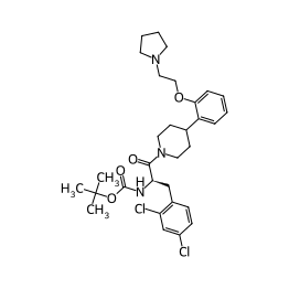 CC(C)(C)OC(=O)N[C@H](Cc1ccc(Cl)cc1Cl)C(=O)N1CCC(c2ccccc2OCCN2CCCC2)CC1